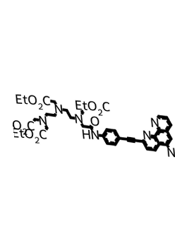 CCOC(=O)CN(CCN(CC(=O)Nc1ccc(C#Cc2ccc3c(N)cc4cccnc4c3n2)cc1)CC(=O)OCC)CCN(CC(=O)OCC)CC(=O)OCC